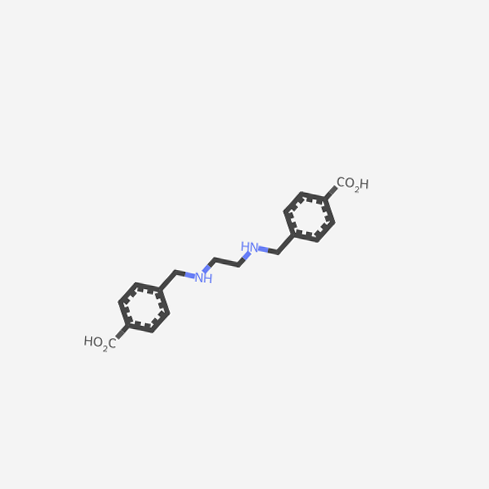 O=C(O)c1ccc(CNCCNCc2ccc(C(=O)O)cc2)cc1